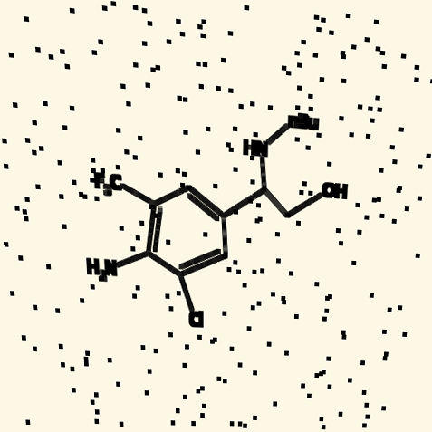 CCCCNC(CO)c1cc(Cl)c(N)c(C(F)(F)F)c1